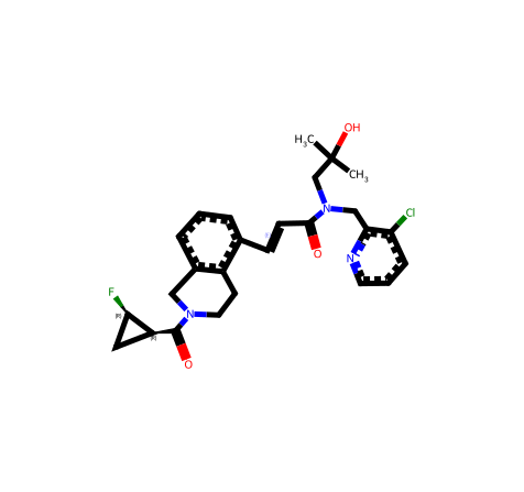 CC(C)(O)CN(Cc1ncccc1Cl)C(=O)/C=C/c1cccc2c1CCN(C(=O)[C@H]1C[C@H]1F)C2